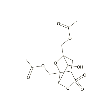 CC(=O)OCC12CC3C(COC(C)=O)(O1)C(OS3(=O)=O)C2O